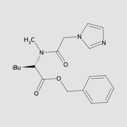 CC[C@H](C)[C@@H](C(=O)OCc1ccccc1)N(C)C(=O)Cn1ccnc1